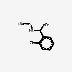 CCCC(NSC(C)(C)C)c1ccccc1Cl